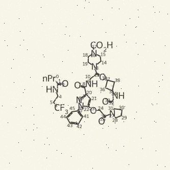 CCCC(=O)NCCC(F)(F)F.O=C(NCC(=O)N1CCN(C(=O)O)CC1)c1cc(OCC(=O)N2CCC[C@H]2C(=O)NC2CCC2)n(-c2ccccc2)n1